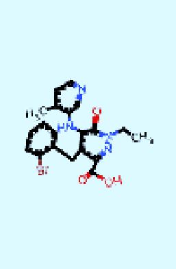 CCn1nc(C(=O)O)c(Cc2ccccc2Br)c(Nc2cnccc2C)c1=O